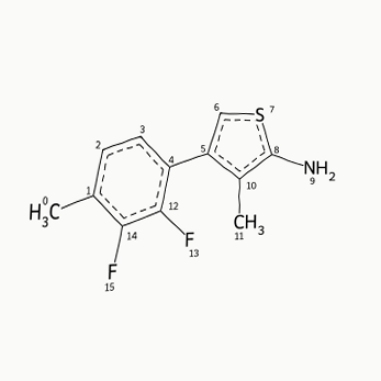 Cc1ccc(-c2csc(N)c2C)c(F)c1F